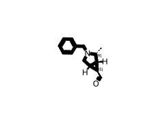 C[C@@H]1[C@@H]2[C@@H](C=O)[C@@H]2CN1Cc1ccccc1